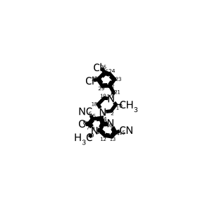 C[C@@H]1CN(c2c(C#N)c(=O)n(C)c3ccc(C#N)nc23)CCN1Cc1ccc(Cl)c(Cl)c1